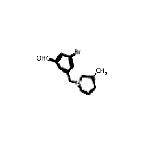 C[C@H]1CCCN(Cc2cc(Br)cc(C=O)c2)C1